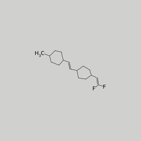 CC1CCC(C=CC2CCC(C=C(F)F)CC2)CC1